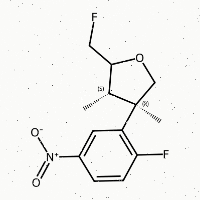 C[C@@H]1C(CF)OC[C@@]1(C)c1cc([N+](=O)[O-])ccc1F